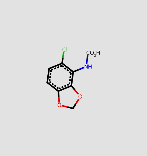 O=C(O)Nc1c(Cl)ccc2c1OCO2